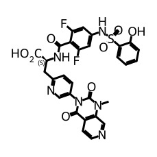 Cn1c(=O)n(-c2ccc(C[C@H](NC(=O)c3c(F)cc(NS(=O)(=O)c4ccccc4O)cc3F)C(=O)O)nc2)c(=O)c2ccncc21